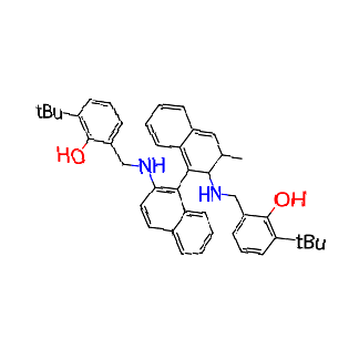 CC1C=c2ccccc2=C(c2c(NCc3cccc(C(C)(C)C)c3O)ccc3ccccc23)C1NCc1cccc(C(C)(C)C)c1O